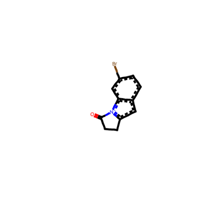 O=C1CCc2cc3ccc(Br)cc3n21